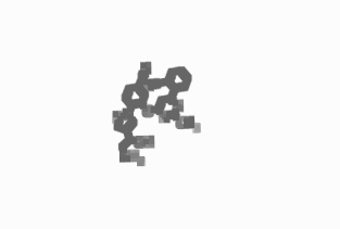 Cc1nc(Oc2cc(C#N)ccc2-n2cc(C(O)CN)cn2)cc(-c2ccccc2C#N)n1